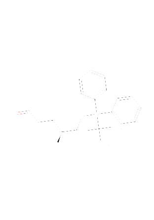 C[C@@H](CCC=O)CO[Si](c1ccccc1)(c1ccccc1)C(C)(C)C